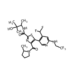 CC1CCCN1C(=O)c1nc(C(=O)NC(C)C(C)(C)O)sc1-c1cnc(NCC(F)(F)F)cc1C(F)F